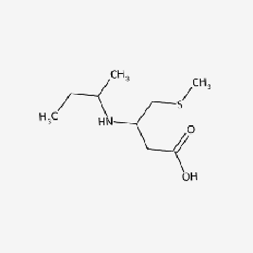 CCC(C)NC(CSC)CC(=O)O